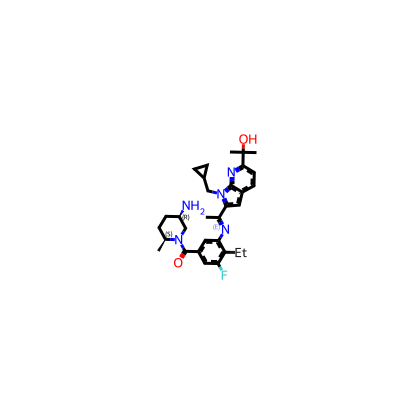 CCc1c(F)cc(C(=O)N2C[C@H](N)CC[C@@H]2C)cc1/N=C(\C)c1cc2ccc(C(C)(C)O)nc2n1CC1CC1